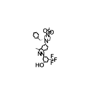 Cc1nn(-c2cc(O)cc(C(F)(F)F)c2)c2ccc(N3CCN(S(C)(=O)=O)C[C@H]3Cc3ccccc3)cc12